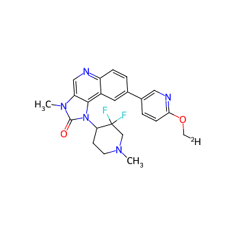 [2H]COc1ccc(-c2ccc3ncc4c(c3c2)n(C2CCN(C)CC2(F)F)c(=O)n4C)cn1